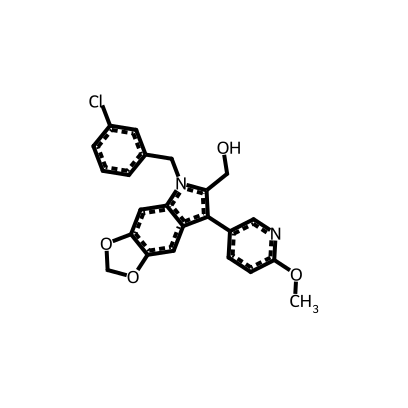 COc1ccc(-c2c(CO)n(Cc3cccc(Cl)c3)c3cc4c(cc23)OCO4)cn1